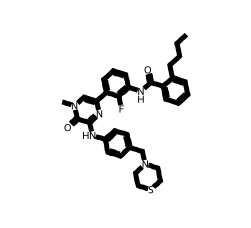 CCCCc1ccccc1C(=O)Nc1cccc(-c2cn(C)c(=O)c(Nc3ccc(CN4CCSCC4)cc3)n2)c1F